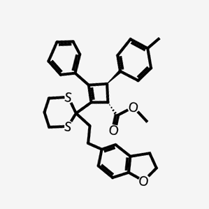 COC(=O)[C@@H]1C(C2(CCc3ccc4c(c3)CCO4)SCCCS2)=C(c2ccccc2)[C@H]1c1ccc(C)cc1